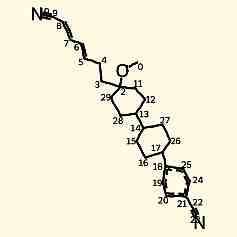 COC1(CCC=CC=CC#N)CCC(C2CCC(c3ccc(C#N)cc3)CC2)CC1